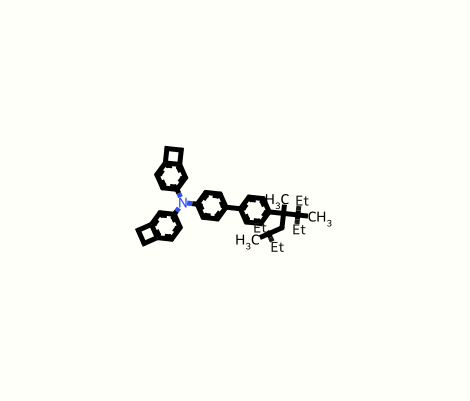 CCC(C)(CC)CC(C)(c1ccc(-c2ccc(N(c3ccc4c(c3)CC4)c3ccc4c(c3)CC4)cc2)cc1)C(C)(CC)CC